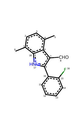 Cc1ccc(C)c2c(C=O)c(-c3ccccc3F)[nH]c12